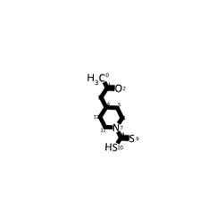 CC(=O)CC1CCN(C(=S)S)CC1